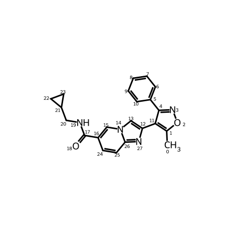 Cc1onc(-c2ccccc2)c1-c1cn2cc(C(=O)NCC3CC3)ccc2n1